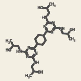 CC(O)CNc1nc(NCC(C)O)nc(C2CCC(c3nc(NCC(C)O)nc(NCC(C)O)n3)CC2)n1